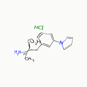 C[C@](N)(Cc1cccc(-n2cccc2)c1)C(=O)O.Cl